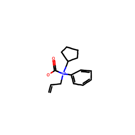 C=CC[N+](C(=O)[O-])(c1ccccc1)C1CCCC1